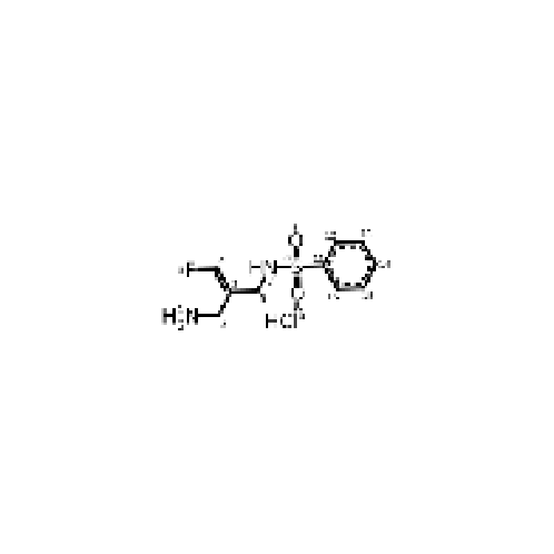 Cl.NCC(=CF)CNS(=O)(=O)c1ccccc1